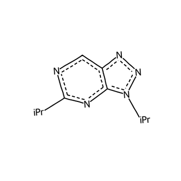 CC(C)c1ncc2nnn(C(C)C)c2n1